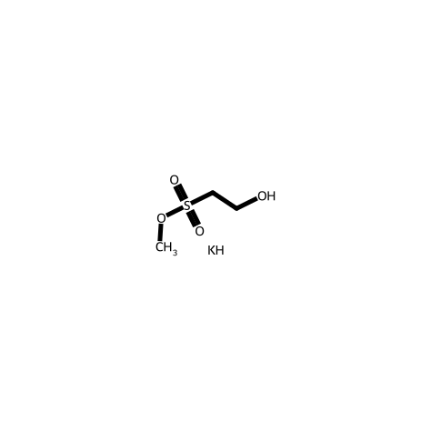 COS(=O)(=O)CCO.[KH]